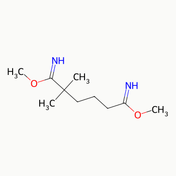 COC(=N)CCCC(C)(C)C(=N)OC